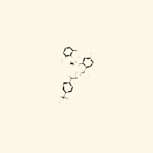 CC(CNC(=O)c1ccc(Cl)cc1NS(=O)(=O)c1c(F)cccc1F)c1ccc(C(F)(F)F)cc1